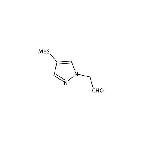 CSc1cnn(CC=O)c1